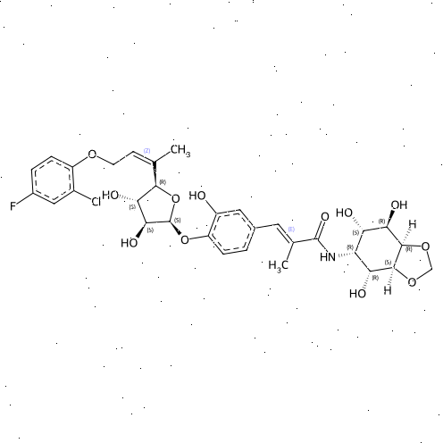 C/C(=C/COc1ccc(F)cc1Cl)[C@H]1O[C@@H](Oc2ccc(/C=C(\C)C(=O)N[C@@H]3[C@H](O)[C@@H](O)[C@H]4OCO[C@H]4[C@@H]3O)cc2O)[C@@H](O)[C@@H]1O